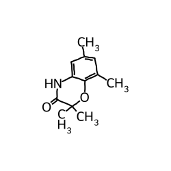 Cc1cc(C)c2c(c1)NC(=O)C(C)(C)O2